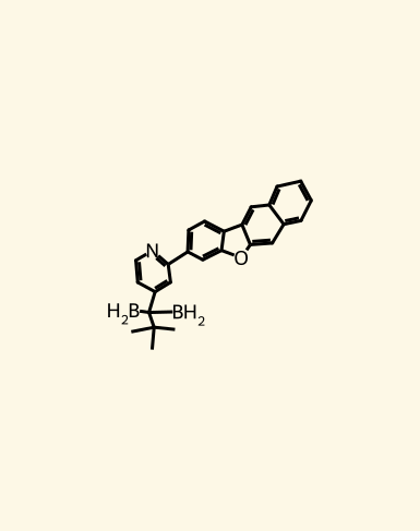 BC(B)(c1ccnc(-c2ccc3c(c2)oc2cc4ccccc4cc23)c1)C(C)(C)C